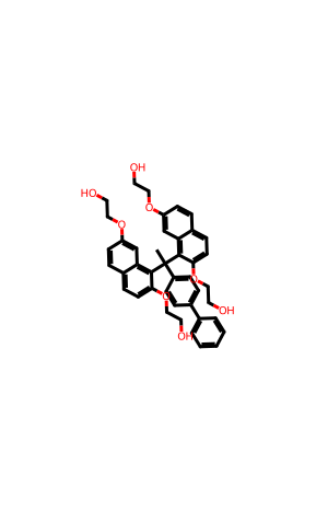 CC(c1ccc(-c2ccccc2)cc1)(c1c(OCCO)ccc2ccc(OCCO)cc12)c1c(OCCO)ccc2ccc(OCCO)cc12